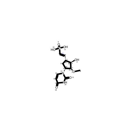 CO[C@@H]1[C@H](O)[C@@H](/C=C/P(=O)(O)O)C[C@H]1n1ccc(=O)[nH]c1=O